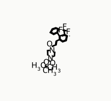 CC(C)(C)OC(=O)N1CCN(C(=O)/C=C/c2cc[c]c(C(F)(F)F)c2-c2ccccc2)CC1